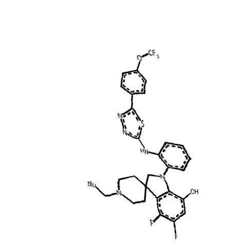 CC(C)(C)CN1CCC2(CC1)CN(c1ccccc1Nc1nnc(-c3ccc(OC(F)(F)F)cc3)s1)c1c(O)cc(F)c(F)c12